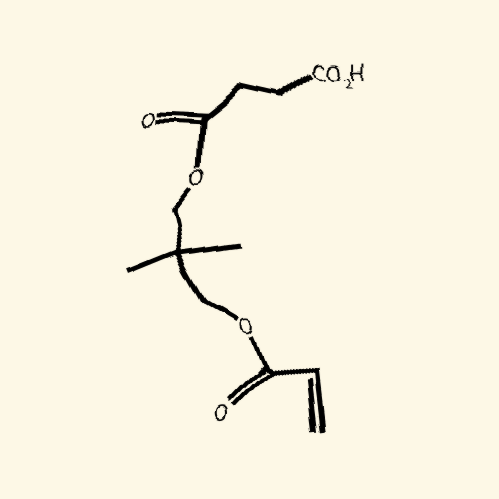 C=CC(=O)OCC(C)(C)COC(=O)CCC(=O)O